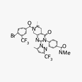 CNC(=O)c1ccc(-n2c(-n3nc(C(F)(F)F)cc3C)nc3c(c2=O)C[C@@H](C)N(C(=O)c2ccc(Br)c(C(F)(F)F)c2)C3)cc1